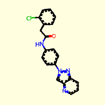 O=C(Cc1ccccc1Cl)Nc1ccc(-n2cc3ncccc3n2)cc1